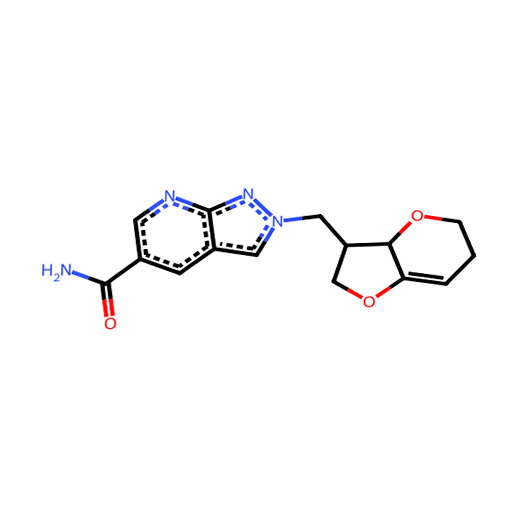 NC(=O)c1cnc2nn(CC3COC4=CCCOC43)cc2c1